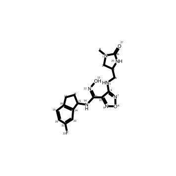 CN1CC(CNc2nonc2C(=NO)NC2CCc3ccc(F)cc32)NC1=O